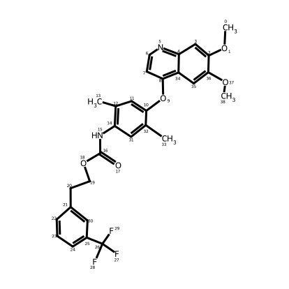 COc1cc2nccc(Oc3cc(C)c(NC(=O)OCCc4cccc(C(F)(F)F)c4)cc3C)c2cc1OC